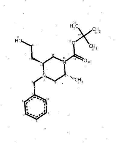 C[C@@H]1CN(Cc2ccccc2)[C@@H](CCO)CN1C(=O)OC(C)(C)C